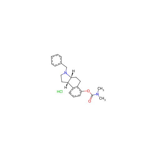 CN(C)C(=O)Oc1cccc2c1CC[C@@H]1[C@H]2CCN1Cc1ccccc1.Cl